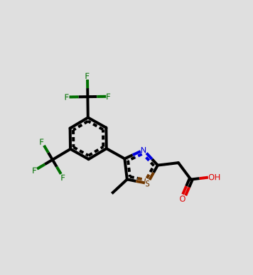 Cc1sc(CC(=O)O)nc1-c1cc(C(F)(F)F)cc(C(F)(F)F)c1